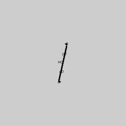 O=C(CCCCCCCCC(O)CCCCCCCC(=O)OCCCCCCCC[C@@H]1CO1)OCCCCCCCCC1CO1